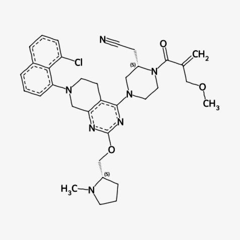 C=C(COC)C(=O)N1CCN(c2nc(OC[C@@H]3CCCN3C)nc3c2CCN(c2cccc4cccc(Cl)c24)C3)C[C@@H]1CC#N